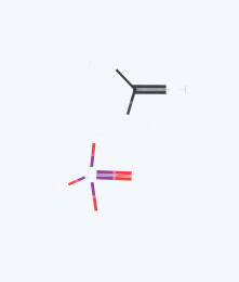 C=C(C)C(=O)OCC.O=P(O)(O)O